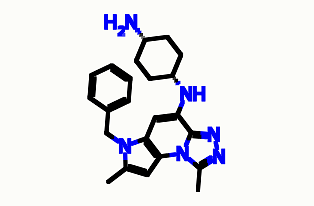 Cc1cc2c(cc(N[C@H]3CC[C@@H](N)CC3)c3nnc(C)n32)n1Cc1ccccc1